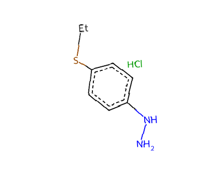 CCSc1ccc(NN)cc1.Cl